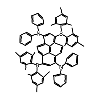 Cc1cc(C)c(B(c2c(C)cc(C)cc2C)c2cc(N(c3ccccc3)c3ccccc3)c3ccc4c(B(c5c(C)cc(C)cc5C)c5c(C)cc(C)cc5C)cc(N(c5ccccc5)c5ccccc5)c5ccc2c3c45)c(C)c1